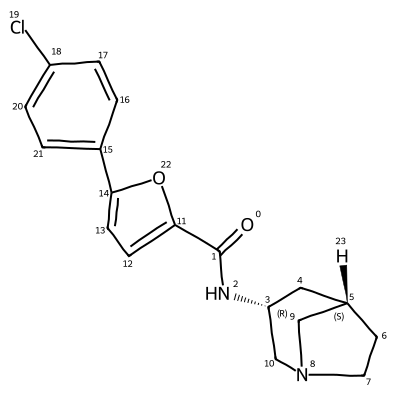 O=C(N[C@@H]1C[C@@H]2CCN(C2)C1)c1ccc(-c2ccc(Cl)cc2)o1